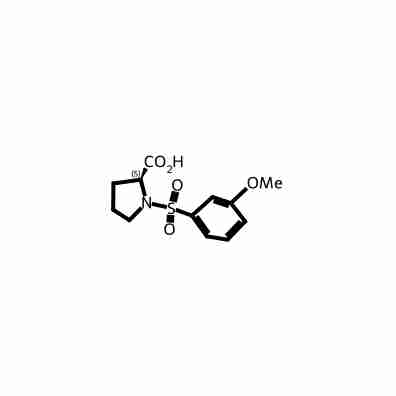 COc1cccc(S(=O)(=O)N2CCC[C@H]2C(=O)O)c1